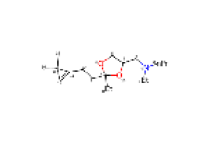 CCCN(CC)CC1COC(CC)(CCC2=CC2(C)C)O1